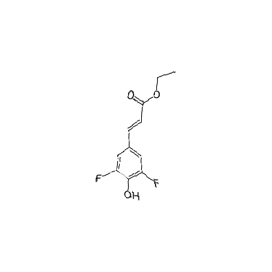 CCOC(=O)C=Cc1cc(F)c(O)c(F)c1